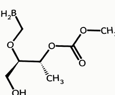 BCO[C@H](CO)[C@@H](C)OC(=O)OC